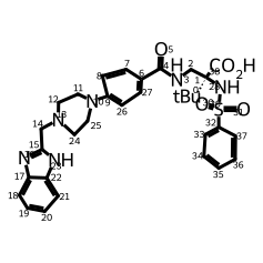 CC(C)(C)[C@@](CNC(=O)c1ccc(N2CCN(Cc3nc4ccccc4[nH]3)CC2)cc1)(NS(=O)(=O)c1ccccc1)C(=O)O